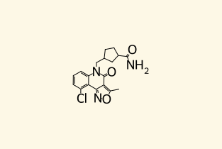 Cc1onc2c1c(=O)n(CC1CCC(C(N)=O)C1)c1cccc(Cl)c21